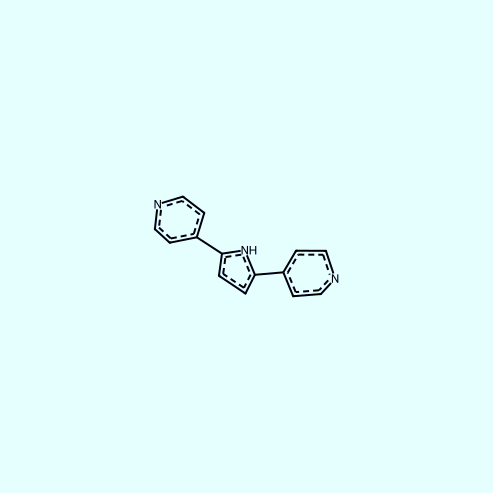 c1cc(-c2ccc(-c3ccncc3)[nH]2)ccn1